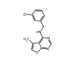 Cc1csc2ncnc(NCc3cccc(Cl)c3)c12